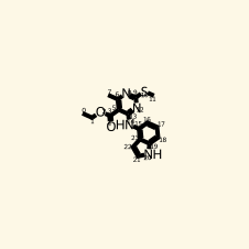 CCOC(=O)c1c(C)nc(SC)nc1Nc1cccc2[nH]ccc12